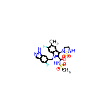 Cc1cc2c(N3CCNS3(=O)=O)c(C(=O)NS(C)(=O)=O)n(Cc3cc4[nH]ncc4cc3F)c2cc1F